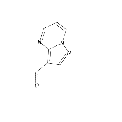 O=Cc1cnn2cccnc12